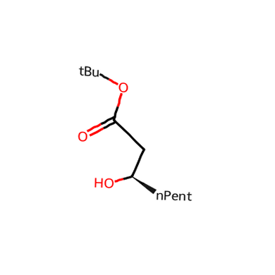 CCCCC[C@@H](O)CC(=O)OC(C)(C)C